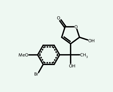 COc1ccc(C(C)(O)C2=CC(=O)OC2O)cc1Br